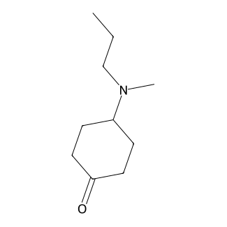 CCCN(C)C1CCC(=O)CC1